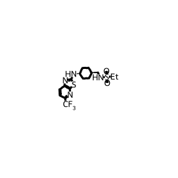 CCS(=O)(=O)NC[C@H]1CC[C@H](Nc2nc3ccc(C(F)(F)F)nc3s2)CC1